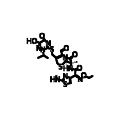 CCO/N=C(\C(=O)N[C@]1(C)C(=O)N2C(C=O)=C(CSc3nc(=O)c(O)nn3C(C)C)CS[C@@]21C)c1csc(NC)n1